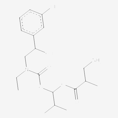 CCN(CC(O)c1cccc(O)c1)C(=O)OC(OC(=O)C(C)CN)C(C)C